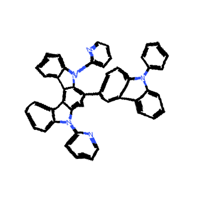 c1ccc(-n2c3ccccc3c3cc(-c4cc5c(c6ccccc6n5-c5ccccn5)c5c6ccccc6n(-c6ccccn6)c45)ccc32)cc1